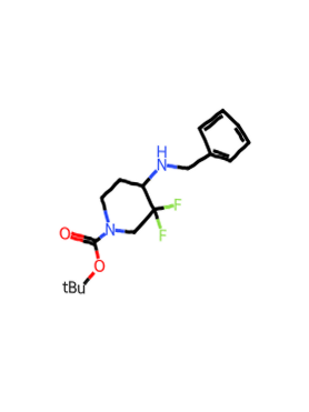 CC(C)(C)OC(=O)N1CCC(NCc2ccccc2)C(F)(F)C1